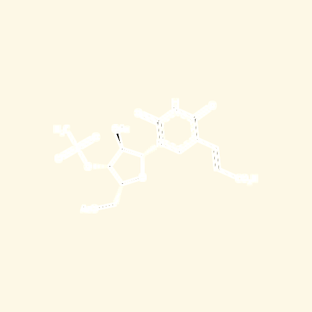 CC(=O)OC[C@H]1O[C@@H](n2cc(C=CC(=O)O)c(=O)[nH]c2=O)[C@H](OC(C)=O)[C@H]1OS(C)(=O)=O